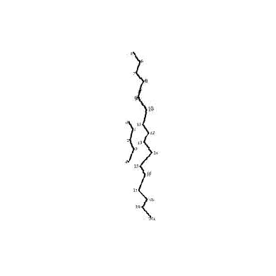 CCCCC.CCCCCCCCCCCCCCCC